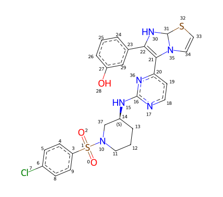 O=S(=O)(c1ccc(Cl)cc1)N1CCC[C@H](Nc2nccc(C3=C(c4cccc(O)c4)NC4SC=CN34)n2)C1